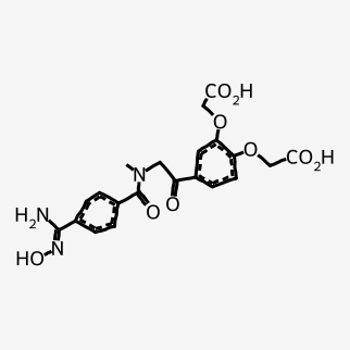 CN(CC(=O)c1ccc(OCC(=O)O)c(OCC(=O)O)c1)C(=O)c1ccc(C(N)=NO)cc1